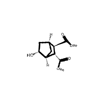 COC(=O)[C@@H]1[C@H]2C[C@@H]([C@H]1C(=O)OC)[C@H](O)C2